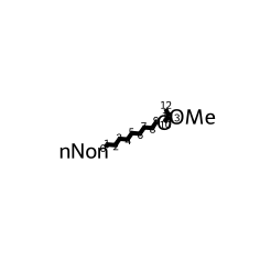 CCCCCCCCCCCCCCCCCCOC(C)OC